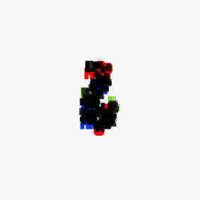 CCOP(=O)(O)OC(C)(C)c1ncc(-c2cc3c(cc2F)nc2n3[C@H]3C[C@H]2NC(=O)c2cccc(OC(F)F)c23)cn1